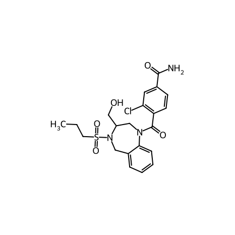 CCCS(=O)(=O)N1Cc2ccccc2N(C(=O)c2ccc(C(N)=O)cc2Cl)CC1CO